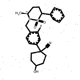 C[C@H]1CCC(c2ccccc2)S(=O)(=O)N1Cc1ccc(C2(C#N)CCC(O)CC2)cc1F